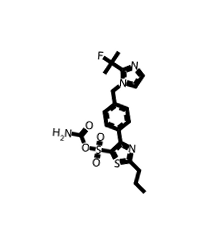 CCCc1nc(-c2ccc(Cn3ccnc3C(C)(C)F)cc2)c(S(=O)(=O)OC(N)=O)s1